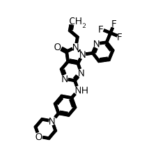 C=CCn1c(=O)c2cnc(Nc3ccc(N4CCOCC4)cc3)nc2n1-c1cccc(C(F)(F)F)n1